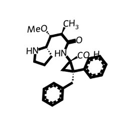 CO[C@@H]([C@@H]1CCCN1)[C@@H](C)C(=O)N[C@@]1(C(=O)O)C[C@]1(Cc1ccccc1)c1ccccc1